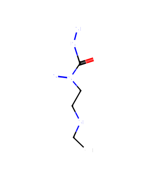 CCNCCN(N)C(=O)NN